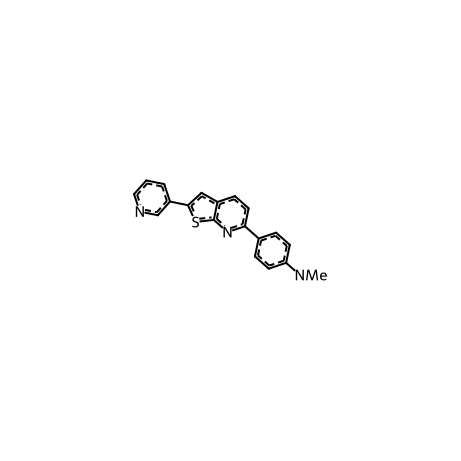 CNc1ccc(-c2ccc3cc(-c4cccnc4)sc3n2)cc1